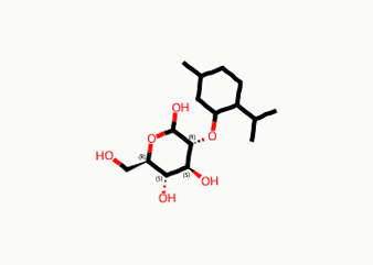 CC1CCC(C(C)C)C(O[C@H]2C(O)O[C@H](CO)[C@@H](O)[C@@H]2O)C1